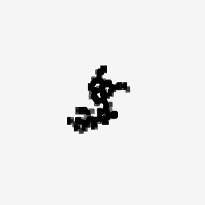 CC(C)Oc1c(C#N)cnc2ccc(/C=C3\SC(N[C@@H](CO)C(C)C)=NC3=O)cc12